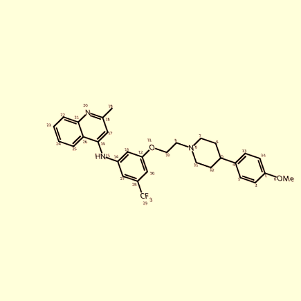 COc1ccc(C2CCN(CCOc3cc(Nc4cc(C)nc5ccccc45)cc(C(F)(F)F)c3)CC2)cc1